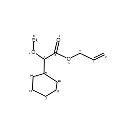 C=CCOC(=O)C(OCC)C1CCCCC1